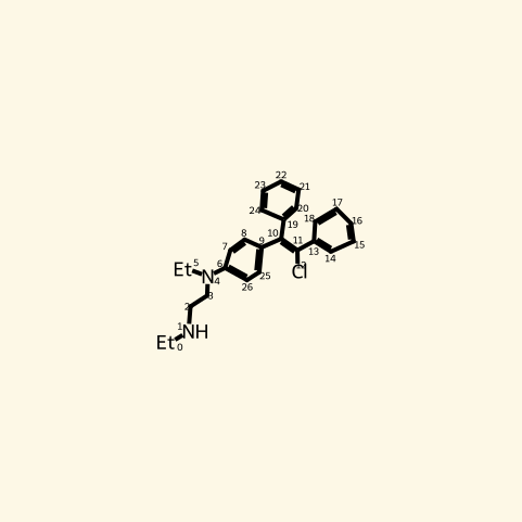 CCNCCN(CC)c1ccc(C(=C(Cl)c2ccccc2)c2ccccc2)cc1